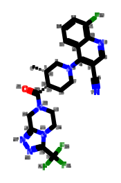 C[C@@H]1CN(c2c(C#N)cnc3c(F)cccc23)CC[C@@H]1C(=O)N1CCn2c(nnc2C(F)(F)F)C1